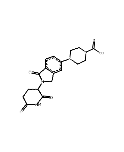 O=C1CCC(N2Cc3cc(N4CCN(C(=O)O)CC4)ccc3C2=O)C(=O)N1